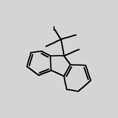 CC(C)(I)C1(C)C2=C(CCC=C2)c2ccccc21